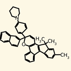 Cc1ccc2c(c1)C(C)(C)c1c3c(c4ccccc4c1-2)OC(c1ccc(N2CCCCC2)cc1)(c1ccc2ccccc2c1)C=C3